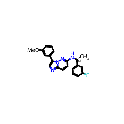 COc1cccc(-c2cnc3ccc(N[C@H](C)c4cccc(F)c4)nn23)c1